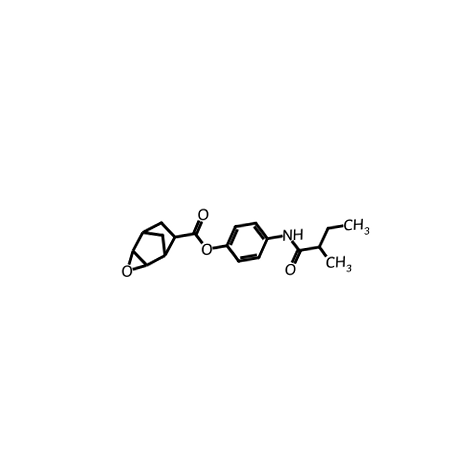 CCC(C)C(=O)Nc1ccc(OC(=O)C2CC3CC2C2OC32)cc1